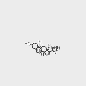 C[C@]12CC[C@H](O)CC1=CC[C@@H]1[C@@H]2CC[C@]2(C)C(c3c[nH]cn3)=CC[C@@H]12